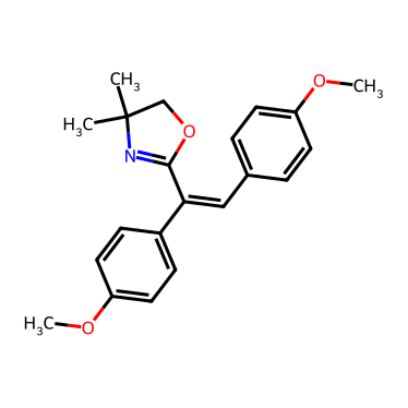 COc1ccc(/C=C(\C2=NC(C)(C)CO2)c2ccc(OC)cc2)cc1